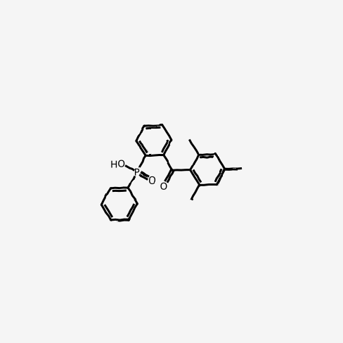 Cc1cc(C)c(C(=O)c2ccccc2P(=O)(O)c2ccccc2)c(C)c1